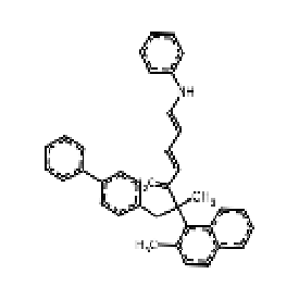 C=C(/C=C/C=C/Nc1ccccc1)C(C)(Cc1ccc(-c2ccccc2)cc1)c1c(C)ccc2ccccc12